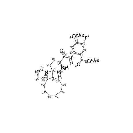 COC(=O)c1cc(F)c(OC)cc1NC(=O)C1CCC(C2CCCCCCCC2)(n2ccnc2)NN1